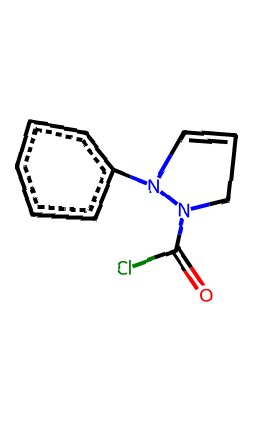 O=C(Cl)N1CC=CN1c1ccccc1